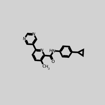 Cc1ccc(-c2cncnc2)nc1C(=O)Nc1ccc(C2CC2)cc1